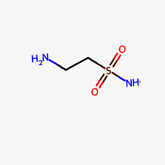 [NH]S(=O)(=O)CCN